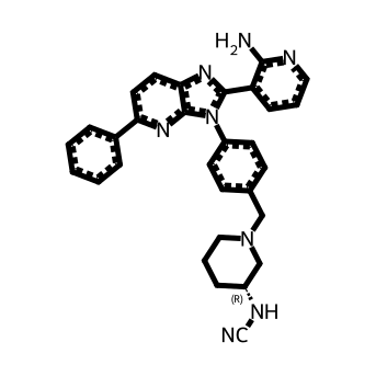 N#CN[C@@H]1CCCN(Cc2ccc(-n3c(-c4cccnc4N)nc4ccc(-c5ccccc5)nc43)cc2)C1